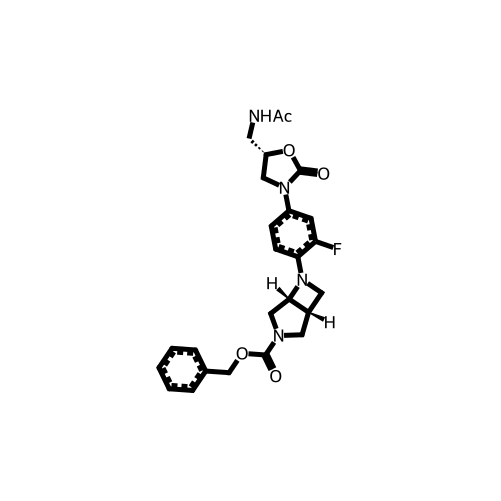 CC(=O)NC[C@H]1CN(c2ccc(N3C[C@@H]4CN(C(=O)OCc5ccccc5)C[C@@H]43)c(F)c2)C(=O)O1